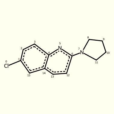 Clc1ccc2nc(N3CCCC3)ccc2c1